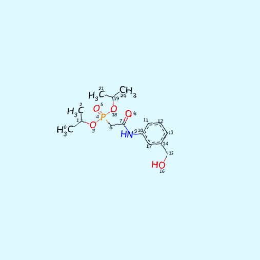 CC(C)OP(=O)(CC(=O)Nc1cccc(CO)c1)OC(C)C